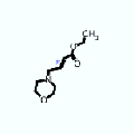 CCOC(=O)/C=C/CN1CCOCC1